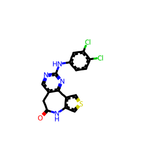 O=C1Cc2cnc(Nc3ccc(Cl)c(Cl)c3)nc2-c2cscc2N1